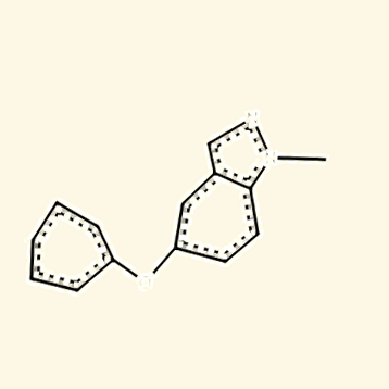 Cn1ncc2cc(Oc3cc[c]cc3)ccc21